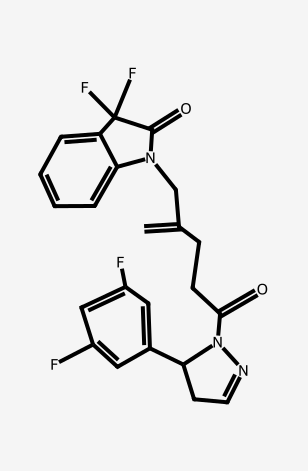 C=C(CCC(=O)N1N=CCC1c1cc(F)cc(F)c1)CN1C(=O)C(F)(F)c2ccccc21